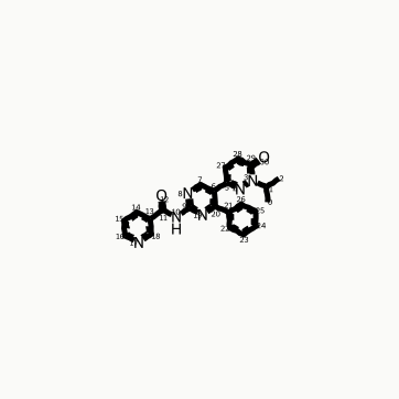 CC(C)n1nc(-c2cnc(NC(=O)c3cccnc3)nc2-c2ccccc2)ccc1=O